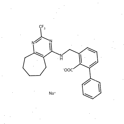 O=C([O-])c1c(CNc2nc(C(F)(F)F)nc3c2CCCCC3)cccc1-c1ccccc1.[Na+]